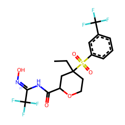 CCC1(S(=O)(=O)c2cccc(C(F)(F)F)c2)CCOC(C(=O)N/C(=N\O)C(F)(F)F)C1